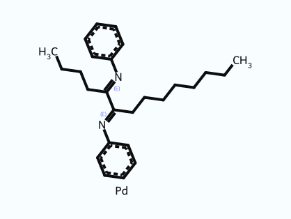 CCCCCCCCC(=N\c1ccccc1)/C(CCCC)=N/c1ccccc1.[Pd]